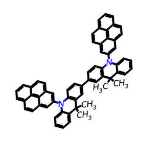 CC1(C)c2ccccc2N(c2cc3ccc4cccc5ccc(c2)c3c45)c2ccc(-c3ccc4c(c3)C(C)(C)c3ccccc3N4c3cc4ccc5cccc6ccc(c3)c4c56)cc21